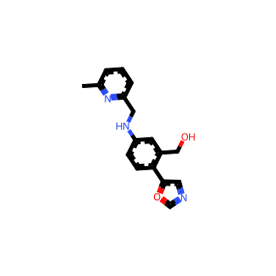 Cc1cccc(CNc2ccc(-c3cnco3)c(CO)c2)n1